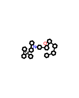 c1ccc(-c2cccc(-c3cccc(-c4cccc5oc6c(-c7ccc(-n8c9ccccc9c9cc([Si]%10(c%11ccccc%11)c%11ccccc%11-c%11ccccc%11%10)ccc98)cc7)cccc6c45)c3)c2)cc1